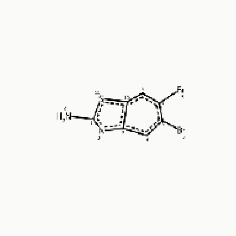 Nc1nc2cc(Br)c(Br)cc2s1